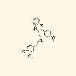 COc1ccc(CSc2ccccc2N(C)CCCN(C)CCc2ccc(OC)c(OC)c2)cc1